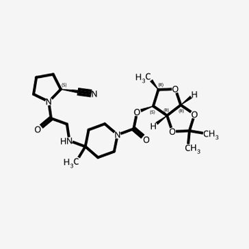 C[C@H]1O[C@@H]2OC(C)(C)O[C@@H]2[C@H]1OC(=O)N1CCC(C)(NCC(=O)N2CCC[C@H]2C#N)CC1